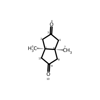 C[C@]12CC(=O)C[C@@]1(C)CC(=O)C2